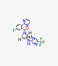 O=C(c1cc(F)ccc1-c1ncccn1)N1C[C@@H]2CC[C@H]1[C@H](Nc1cnc(C(F)(F)F)cn1)C2